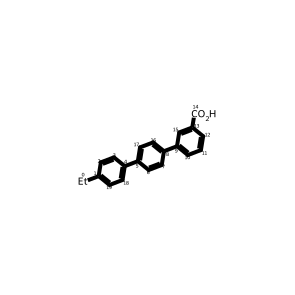 CCc1ccc(-c2ccc(-c3cccc(C(=O)O)c3)cc2)cc1